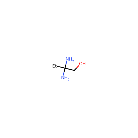 CCC(N)(N)CO